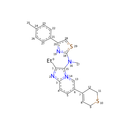 CCc1nc2ccc(C3=CCSCC3)cn2c1N(C)c1nc(-c2ccc(C)cc2)cs1